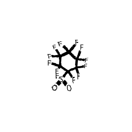 O=S(=O)(F)C1(F)C(F)(F)C(F)(F)C(F)(F)C(F)(F)C1(F)F